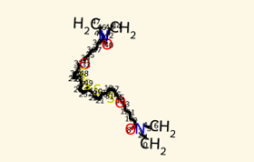 C=CCN(CC=C)C(=O)CCCCCOCc1ccc(-c2ccc(-c3ccc(-c4ccc(COCCCCCC(=O)N(CC=C)CC=C)s4)s3)s2)s1